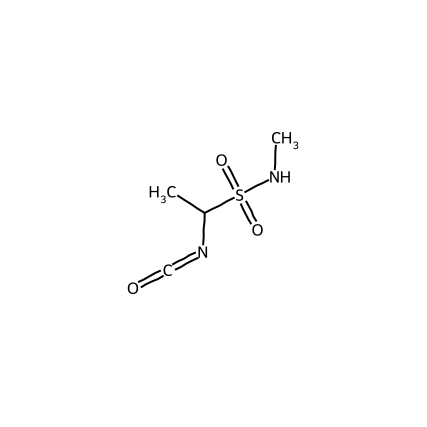 CNS(=O)(=O)C(C)N=C=O